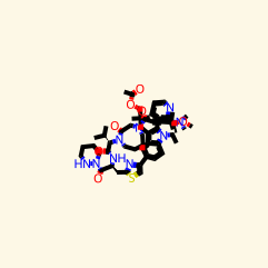 CCn1c(-c2cccnc2[C@H](C)OC)c(CC(C)(C)COC(C)=O)c2cc(-c3csc(C[C@H](NC(=O)[C@H](C(C)C)N4CCCCN(C(=O)C#CC(C)(C)N(C)C)CC4=O)C(=O)N4CCCCN4)n3)ccc21